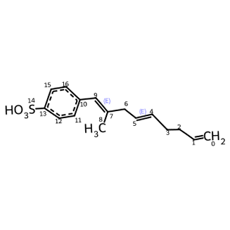 C=CCC/C=C/C/C(C)=C/c1ccc(S(=O)(=O)O)cc1